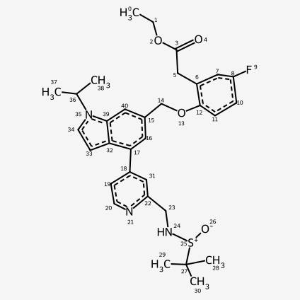 CCOC(=O)Cc1cc(F)ccc1OCc1cc(-c2ccnc(CN[S+]([O-])C(C)(C)C)c2)c2ccn(C(C)C)c2c1